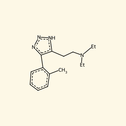 CCN(CC)CCc1[nH]nnc1-c1ccccc1C